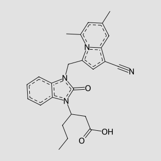 CCCC(CC(=O)O)n1c(=O)n(Cc2cc(C#N)c3cc(C)cc(C)n23)c2ccccc21